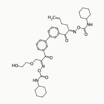 C=CCC/C(=N\OC(=O)NC1CCCCC1)C(=O)c1cccc(-c2cccc(C(=O)/C(COCCO)=N/OC(=O)NC3CCCCC3)c2)c1